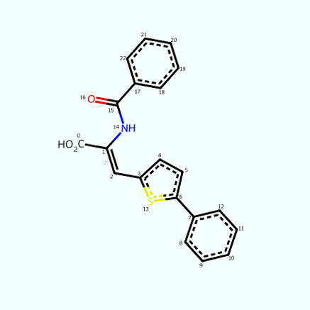 O=C(O)/C(=C/c1ccc(-c2ccccc2)s1)NC(=O)c1ccccc1